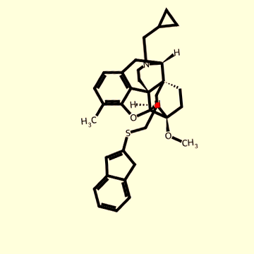 CO[C@]12CC[C@@]3(C[C@@H]1CSC1=Cc4ccccc4C1)[C@H]1Cc4ccc(C)c5c4[C@@]3(CCN1CC1CC1)[C@H]2O5